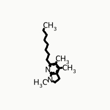 CCCCCCCCc1nc2c(c(C)c1C)CCN2C